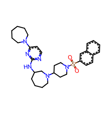 O=S(=O)(c1ccc2ccccc2c1)N1CCC(N2CCCCC(Nc3nccc(N4CCCCCC4)n3)C2)CC1